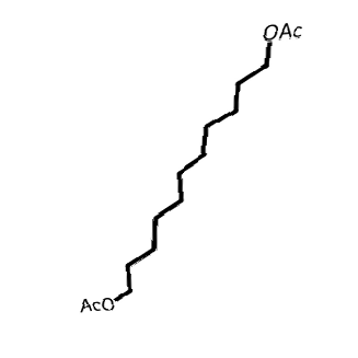 CC(=O)OCCCCCCCCCCCOC(C)=O